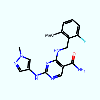 COc1cccc(F)c1CNc1nc(Nc2cnn(C)c2)ncc1C(N)=O